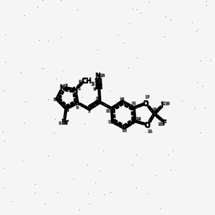 Cn1ncc(Br)c1/C=C(\C#N)c1ccc2c(c1)OC(F)(F)O2